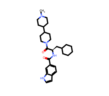 CN1CCC(C2CCN(C(=O)[C@@H](CC3CCCCC3)NC(=O)c3ccc4cc[nH]c4c3)CC2)CC1